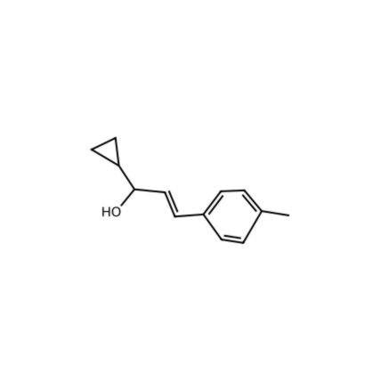 Cc1ccc(/C=C/C(O)C2CC2)cc1